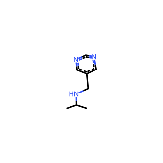 CC(C)NCc1cncnc1